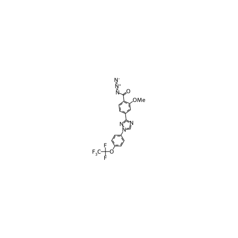 COc1cc(-c2ncn(-c3ccc(OC(F)(F)C(F)(F)F)cc3)n2)ccc1C(=O)N=[N+]=[N-]